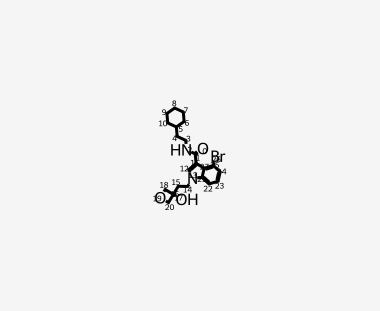 O=C(NCCC1CCCCC1)c1cn(CCC2(O)COC2)c2cccc(Br)c12